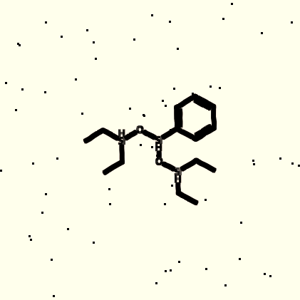 CC[SiH](CC)O[SiH](O[SiH](CC)CC)c1ccccc1